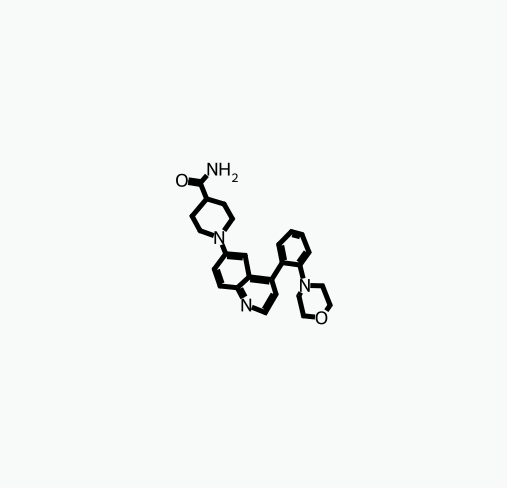 NC(=O)C1CCN(c2ccc3nccc(-c4ccccc4N4CCOCC4)c3c2)CC1